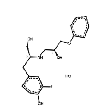 Cl.OC[C@H](Cc1ccc(O)c(F)c1)NC[C@H](O)COc1ccccc1